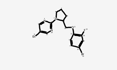 CCc1cnc(N2CCCC2COc2ccc(Br)cc2F)nc1